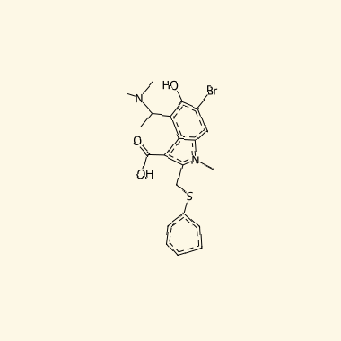 CC(c1c(O)c(Br)cc2c1c(C(=O)O)c(CSc1ccccc1)n2C)N(C)C